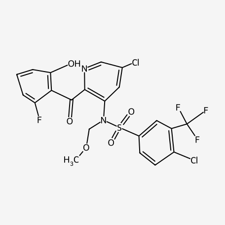 COCN(c1cc(Cl)cnc1C(=O)c1c(O)cccc1F)S(=O)(=O)c1ccc(Cl)c(C(F)(F)F)c1